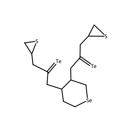 [Te]=C(CC1CS1)CC1CC[Se]CC1CC(=[Te])CC1CS1